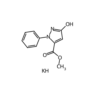 COC(=O)c1cc(O)nn1-c1ccccc1.[KH]